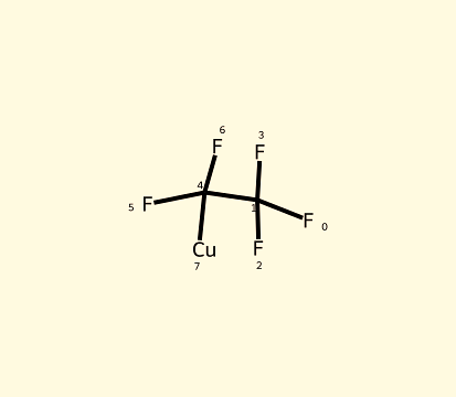 FC(F)(F)[C](F)(F)[Cu]